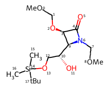 COCO[C@H]1C(=O)N(COC)[C@H]1[C@H](O)CO[Si](C)(C)C(C)(C)C